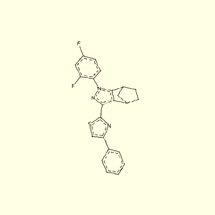 Fc1ccc(-n2nc(-c3nc(-c4ccccc4)cs3)c3c2C2CCC3C2)c(F)c1